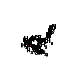 CC[C@H]1OC(=O)[C@H](C)[C@@H](O[C@@H]2C[C@@](C)(OC)[C@@H](O)[C@H](C)O2)[C@H](C)[C@@H](OC2C[C@@H](N(C)CCc3cn(CC4CN(c5cccc6ncccc56)C(=O)O4)nn3)C[C@@H](C)O2)[C@](C)(O)C[C@@H](C)CN(C)[C@H](C)[C@@H](O)[C@]1(C)O